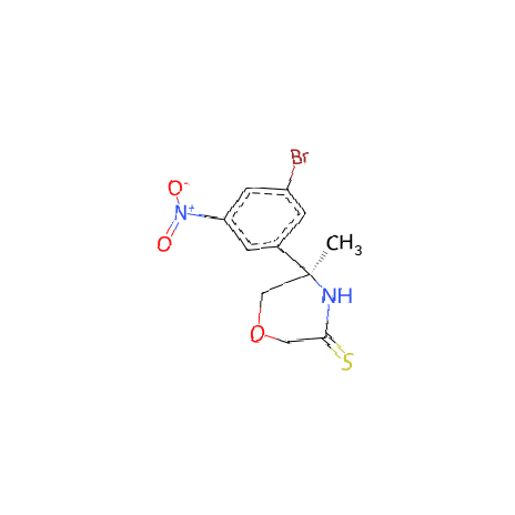 C[C@@]1(c2cc(Br)cc([N+](=O)[O-])c2)COCC(=S)N1